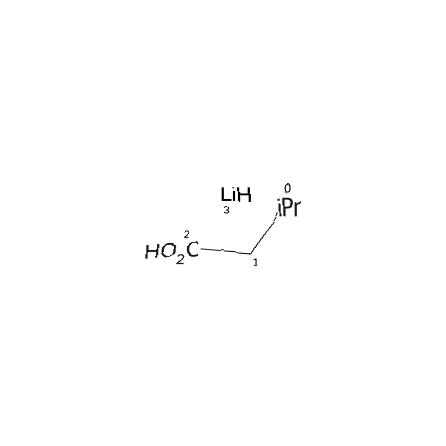 CC(C)CC(=O)O.[LiH]